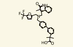 Cc1c(CN(Cc2ccc(-c3cccc(C(C)(C)C(=O)O)c3)cc2)Cc2ccc(C(F)(F)F)o2)c2ccccc2[nH]c1=O